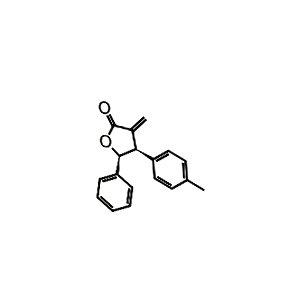 C=C1C(=O)O[C@H](c2ccccc2)[C@@H]1c1ccc(C)cc1